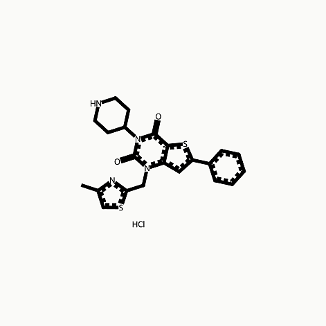 Cc1csc(Cn2c(=O)n(C3CCNCC3)c(=O)c3sc(-c4ccccc4)cc32)n1.Cl